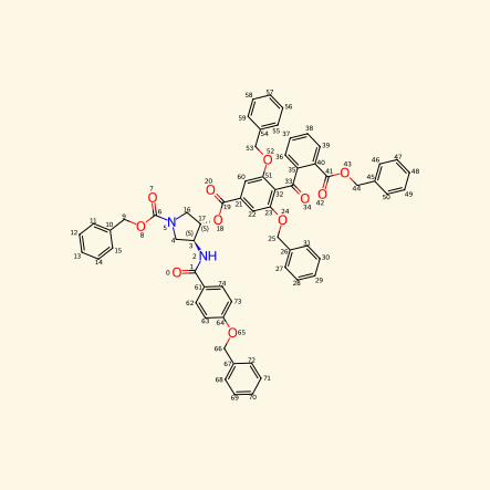 O=C(N[C@H]1CN(C(=O)OCc2ccccc2)C[C@@H]1OC(=O)c1cc(OCc2ccccc2)c(C(=O)c2ccccc2C(=O)OCc2ccccc2)c(OCc2ccccc2)c1)c1ccc(OCc2ccccc2)cc1